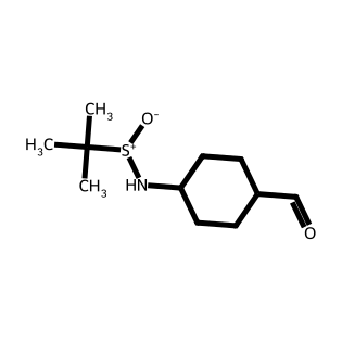 CC(C)(C)[S+]([O-])NC1CCC(C=O)CC1